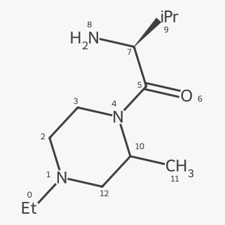 CCN1CCN(C(=O)[C@@H](N)C(C)C)C(C)C1